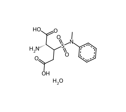 CN(c1ccccc1)S(=O)(=O)C(CC(=O)O)[C@H](N)C(=O)O.O